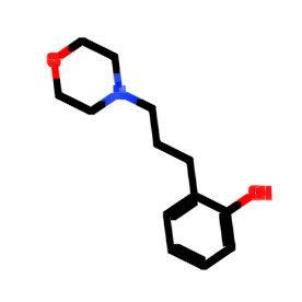 Oc1ccccc1CCCN1CCOCC1